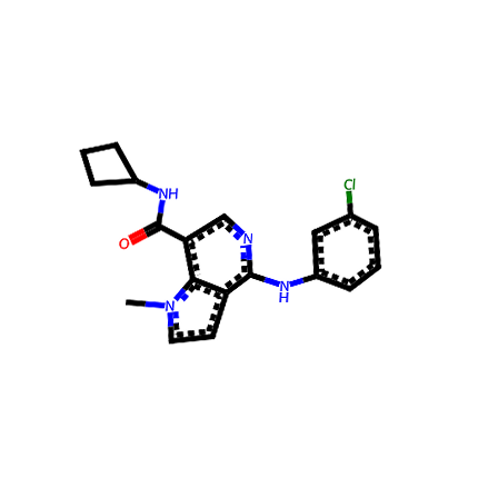 Cn1ccc2c(Nc3cccc(Cl)c3)ncc(C(=O)NC3CCC3)c21